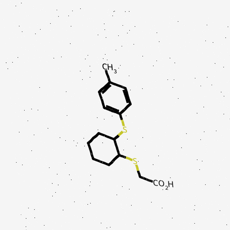 Cc1ccc(SC2CCCCC2SCC(=O)O)cc1